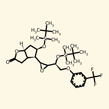 CC(C)(C)[Si](C)(C)O[C@@H](COc1cccc(C(F)(F)F)c1)C1O[C@H]1[C@H]1C2CC(=O)O[C@H]2C[C@H]1O[Si](C)(C)C(C)(C)C